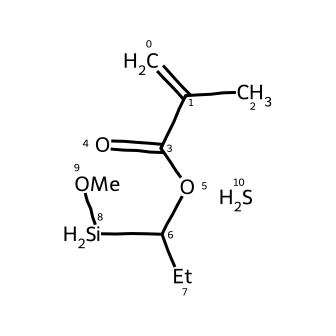 C=C(C)C(=O)OC(CC)[SiH2]OC.S